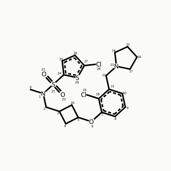 CN(CC1CC(Oc2cccc(CN3CCCC3)c2Cl)C1)S(=O)(=O)c1ccc(Cl)s1